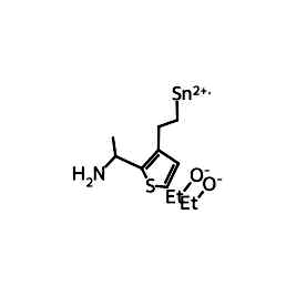 CC(N)c1sccc1C[CH2][Sn+2].CC[O-].CC[O-]